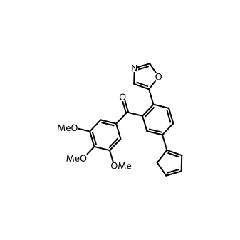 COc1cc(C(=O)c2cc(C3=CC=CC3)ccc2-c2cnco2)cc(OC)c1OC